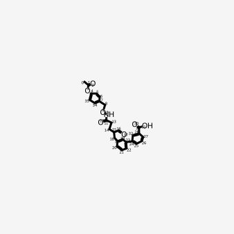 CC(=O)Oc1ccc(CONC(=O)CCC(C=O)Cc2cccc(-c3cccc(C(=O)O)c3)c2)cc1